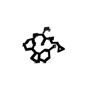 C[C@@H](Nc1cncc(-c2c[nH]c3ncc(Cl)cc23)n1)C(=O)NCCC1CC1